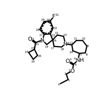 CCCOC(=O)NC1CCCCC(N2CCC3(CC2)CN(C(=O)C2CCC2)c2ccc(F)cc23)C1